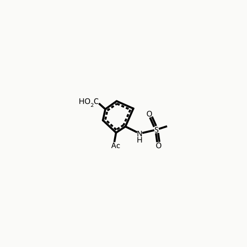 CC(=O)c1cc(C(=O)O)ccc1NS(C)(=O)=O